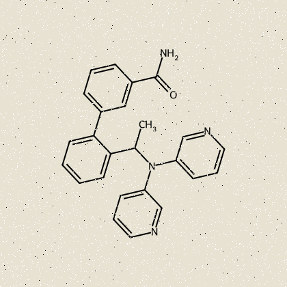 CC(c1ccccc1-c1cccc(C(N)=O)c1)N(c1cccnc1)c1cccnc1